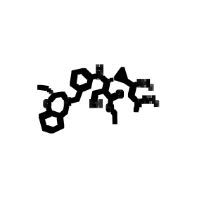 CCOC(=O)/C(C=N)=C(/Nc1cccc(CN2Cc3ccccc3O[C@H](CC)C2)c1)[C@@H]1CC1/C(N)=C/N(C)N